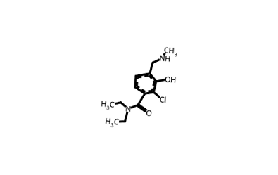 CCN(CC)C(=O)c1ccc(CNC)c(O)c1Cl